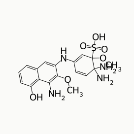 COc1c(NC2=CC(OC)(S(=O)(=O)O)C(N)(N)C=C2)cc2cccc(O)c2c1N